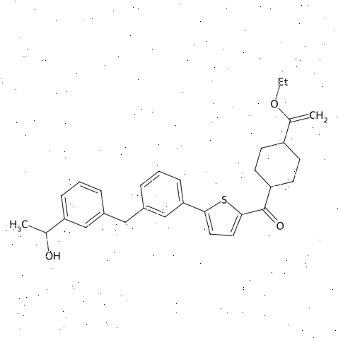 C=C(OCC)C1CCC(C(=O)c2ccc(-c3cccc(Cc4cccc(C(C)O)c4)c3)s2)CC1